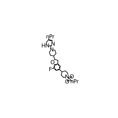 CCCC1=CN=C(N2CCC(C3Cc4cc(C5CCN(S(=O)(=O)CCC)CC5)cc(F)c4O3)CC2)NC1